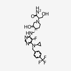 NC(=O)C(CO)N1CC[C@H](CNc2ncnc(N(Cc3ccc(C(F)(F)F)cc3)C3CC3)c2F)[C@@H](O)C1